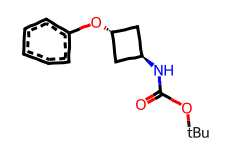 CC(C)(C)OC(=O)N[C@H]1C[C@H](Oc2ccccc2)C1